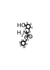 N[C@@H](Cc1cccc(O)c1)C(=O)OCc1ccccc1